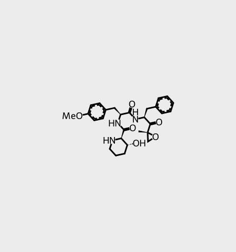 COc1ccc(C[C@H](NC(=O)[C@@H]2NCCC[C@H]2O)C(=O)N[C@@H](Cc2ccccc2)C(=O)[C@@]2(C)CO2)cc1